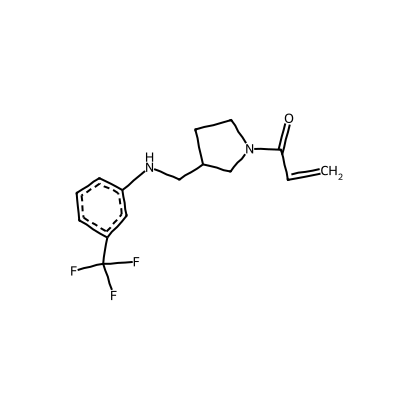 C=CC(=O)N1CCC(CNc2cccc(C(F)(F)F)c2)C1